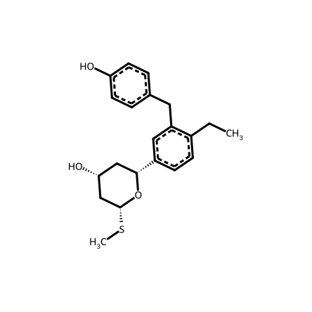 CCc1ccc([C@H]2C[C@@H](O)C[C@@H](SC)O2)cc1Cc1ccc(O)cc1